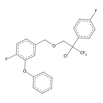 Fc1ccc(C(Cl)(COCc2ccc(F)c(Oc3ccccc3)c2)C(F)(F)F)cc1